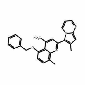 Cc1cc2ncccn2c1-c1cc(C(=O)O)c2c(OCc3ccccc3)ccc(C)c2n1